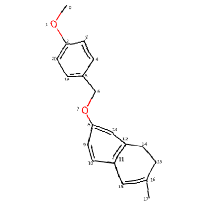 COc1ccc(COc2ccc3c(c2)CCC(C)=C3)cc1